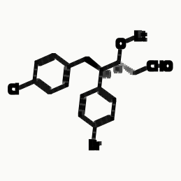 CCO[C@H](CC=O)[C@H](Cc1ccc(Cl)cc1)c1ccc(Br)cc1